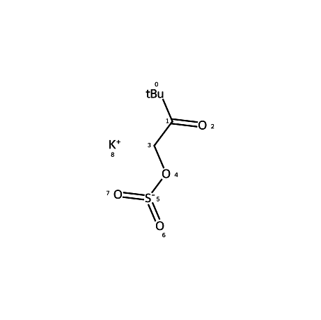 CC(C)(C)C(=O)CO[S-](=O)=O.[K+]